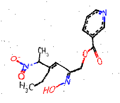 CC/C(=C\C(COC(=O)c1cccnc1)=N/O)C(C)[N+](=O)[O-]